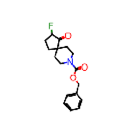 O=C(OCc1ccccc1)N1CCC2(CCC(F)C2=O)CC1